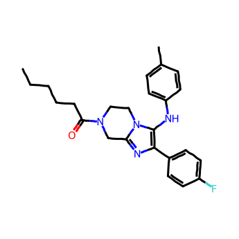 CCCCCC(=O)N1CCn2c(nc(-c3ccc(F)cc3)c2Nc2ccc(C)cc2)C1